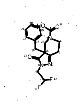 O=C(O)N1CCC2=NN(CC(F)F)C(=O)C2(Cc2ccccc2)C1